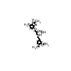 COc1ccc(CCNCC(O)COc2ccc(C)c3[nH]c(C)nc23)cc1OC.Cl